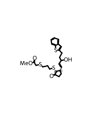 COC(=O)CSCCCS[C@H]1C(=O)CC[C@@H]1C=CC(O)CCc1cc2ccccc2s1